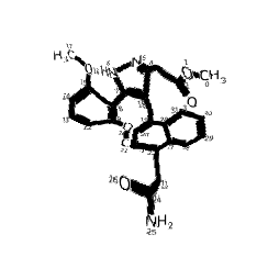 COC(=O)c1n[nH]c(-c2c(OC)cccc2OC)c1-c1ccc(CC(N)=O)c2ccccc12